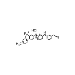 CN1CCN(c2ccc(Nc3nccc(Nc4cccc(CC#N)c4)n3)cc2C(F)(F)F)CC1.Cl